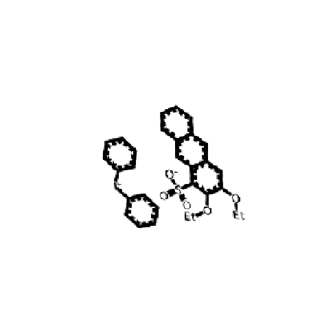 CCOc1cc2cc3ccccc3cc2c(S(=O)(=O)[O-])c1OCC.c1ccc([I+]c2ccccc2)cc1